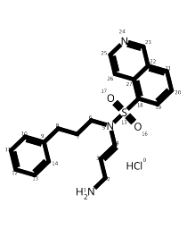 Cl.NCC=CN(CCCc1ccccc1)S(=O)(=O)c1cccc2cnccc12